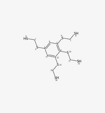 SCSc1cc(SCS)c(SCS)c(SCS)c1